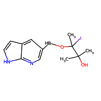 CC(C)(O)C(C)(I)OBc1cnc2[nH]ccc2c1